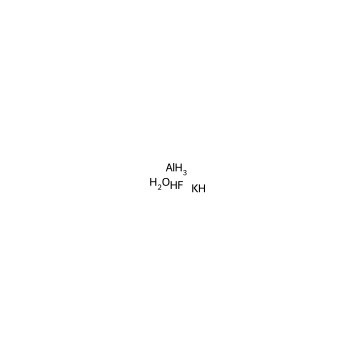 F.O.[AlH3].[KH]